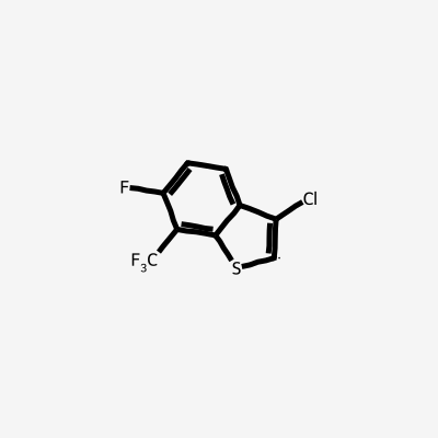 Fc1ccc2c(Cl)[c]sc2c1C(F)(F)F